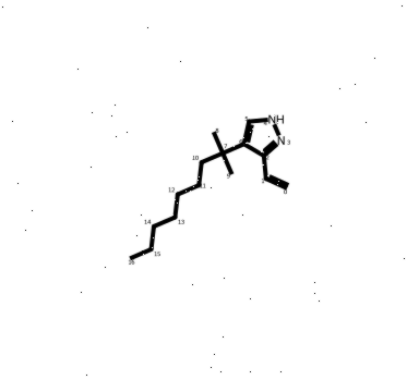 C=Cc1n[nH]cc1C(C)(C)CCCCCCC